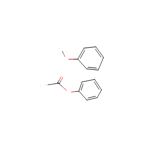 CCCC(=O)Oc1ccccc1.CCOc1ccccc1